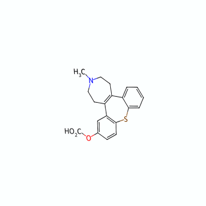 CN1CCC2=C(CC1)c1cc(OC(=O)O)ccc1Sc1ccccc12